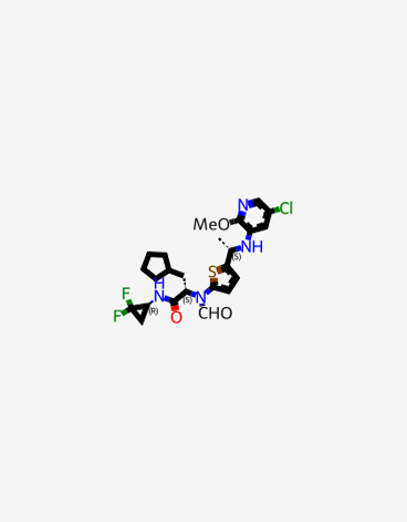 COc1ncc(Cl)cc1N[C@@H](C)c1ccc(N(C=O)[C@@H](CC2CCCC2)C(=O)N[C@@H]2CC2(F)F)s1